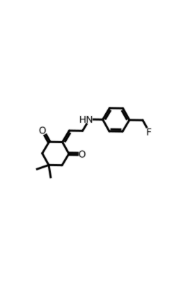 CC1(C)CC(=O)C(=CCNc2ccc(CF)cc2)C(=O)C1